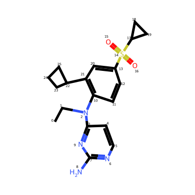 CCN(c1ccnc(N)n1)c1ccc(S(=O)(=O)C2CC2)cc1C1CCC1